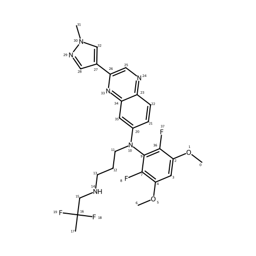 COc1cc(OC)c(F)c(N(CCCNCC(C)(F)F)c2ccc3ncc(-c4cnn(C)c4)nc3c2)c1F